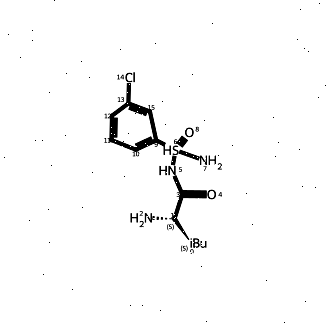 CC[C@H](C)[C@H](N)C(=O)N[SH](N)(=O)c1cccc(Cl)c1